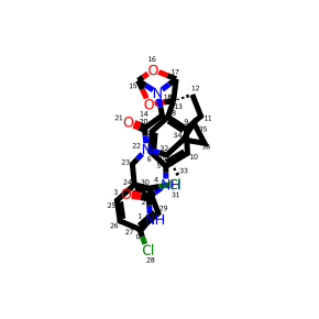 CNC(=O)Nc1ccc2c(c1)CC[C@@]21OC2OC1N2CC(=O)N(Cc1ccc(Cl)cc1Cl)[C@@H](C)C1CC1